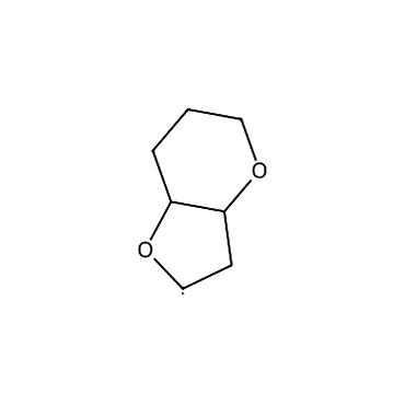 [CH]1CC2OCCCC2O1